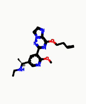 C=CCCOc1nc(-c2cc([C@@H](C)NCC)cnc2OC)nn2ccnc12